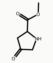 COC(=O)C1CC(=O)CN1